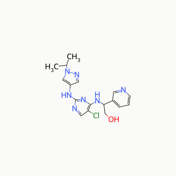 CC(C)n1cc(Nc2ncc(Cl)c(NC(CO)c3cccnc3)n2)cn1